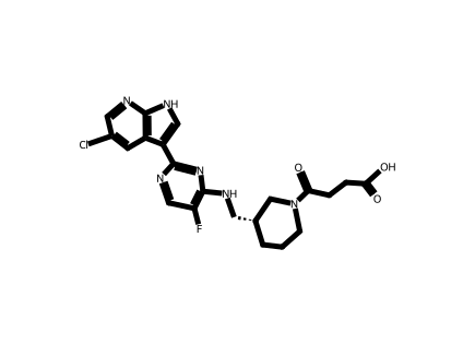 O=C(O)CCC(=O)N1CCC[C@H](CNc2nc(-c3c[nH]c4ncc(Cl)cc34)ncc2F)C1